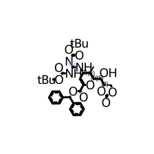 C[C@H]1[C@H]([C@H](O)[C@H]2COC(=O)O2)OC(C(=O)OC(c2ccccc2)c2ccccc2)=C[C@@H]1N/C(=N\C(=O)OC(C)(C)C)NC(=O)OC(C)(C)C